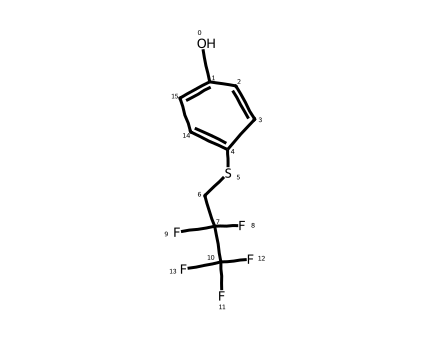 Oc1ccc(SCC(F)(F)C(F)(F)F)cc1